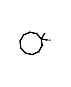 CC1(N)CCCCCCCCC1